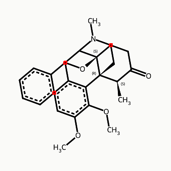 COc1ccc2c(c1OC)[C@]13CCN(C)C(C2)[C@]1(OCc1ccccc1)CCC(=O)[C@H]3C